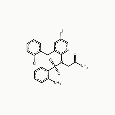 Cc1ccccc1S(=O)(=O)N(CC(N)=O)c1ccc(Cl)cc1Cc1ccccc1Cl